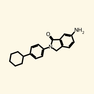 Nc1ccc2c(c1)C(=O)N(c1ccc(C3CCCCC3)cc1)C2